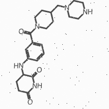 O=C1CCC(Nc2cccc(C(=O)N3CCC(CN4CCNCC4)CC3)c2)C(=O)N1